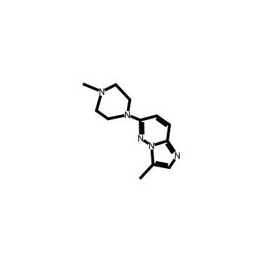 Cc1cnc2ccc(N3CCN(C)CC3)nn12